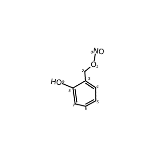 O=NOCc1ccccc1O